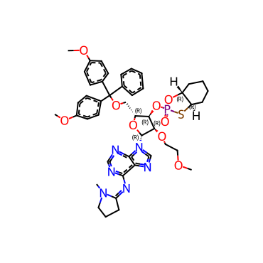 COCCO[C@@H]1[C@H](OP2(=O)O[C@@H]3CCCC[C@H]3S2)[C@@H](COC(c2ccccc2)(c2ccc(OC)cc2)c2ccc(OC)cc2)O[C@H]1n1cnc2c(N=C3CCCN3C)ncnc21